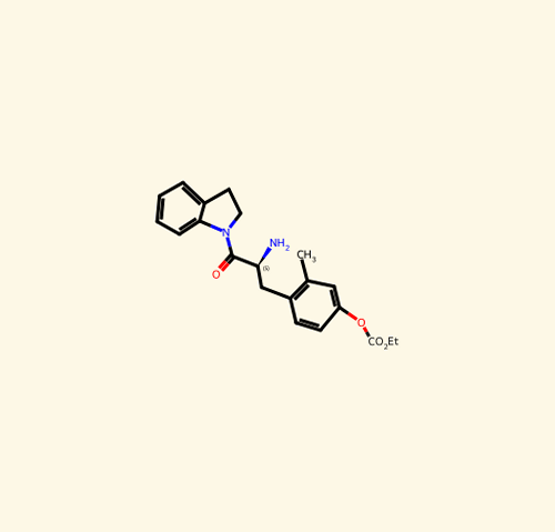 CCOC(=O)Oc1ccc(C[C@H](N)C(=O)N2CCc3ccccc32)c(C)c1